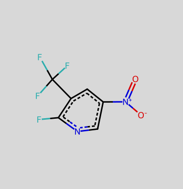 O=[N+]([O-])c1cnc(F)c(C(F)(F)F)c1